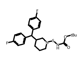 CC(C)(C)OC(=O)NSN1CCCC(C(c2ccc(F)cc2)c2ccc(F)cc2)C1